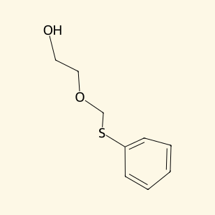 OCCOCSc1ccccc1